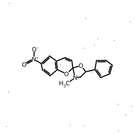 CN1CC(c2ccccc2)OC12C=Cc1cc([N+](=O)[O-])ccc1O2